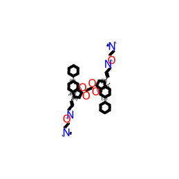 CN(C)CCON=CC=C[C@H]1CC[C@]2(OC(=O)C(=O)O[C@]34CC[C@H](C=CC=NOCCN(C)C)[C@@]3(C)CC[C@H](C3CCCCC3)C4)C[C@@H](C3CCCCC3)CC[C@]12C